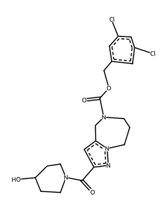 O=C(OCc1cc(Cl)cc(Cl)c1)N1CCCn2nc(C(=O)N3CCC(O)CC3)cc2C1